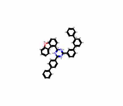 c1ccc(-c2ccc(-c3nc(-c4cccc(-c5cccc(-c6ccccc6)c5)c4)nc(-c4cccc5oc6ccccc6c45)n3)cc2)cc1